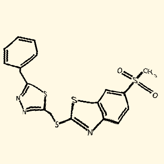 CS(=O)(=O)c1ccc2nc(Sc3nnc(-c4ccccc4)s3)sc2c1